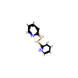 C1=CN=C(SSc2ccccn2)CC1